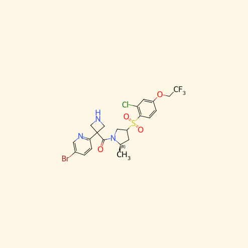 C[C@@H]1CC(S(=O)(=O)c2ccc(OCC(F)(F)F)cc2Cl)CN1C(=O)C1(c2ccc(Br)cn2)CNC1